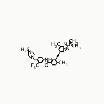 Cc1ccc(C(=O)Nc2ccc(CN3CCN(C)CC3)c(C(F)(F)F)c2)cc1C#Cc1cc(C)c2nc(N(C)C)nn2c1